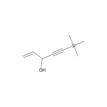 C=CC(O)C#C[Si](C)(C)C